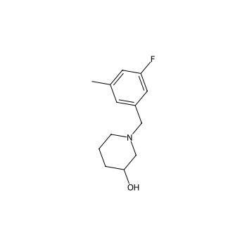 Cc1cc(F)cc(CN2CCCC(O)C2)c1